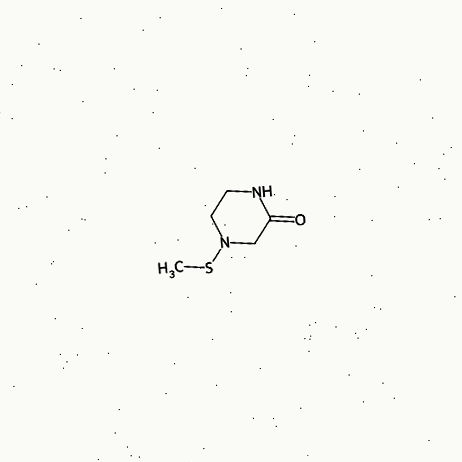 CSN1CCNC(=O)C1